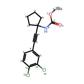 CC(C)(C)OC(=O)NC1(C#Cc2ccc(Cl)c(Cl)c2)CCCC1